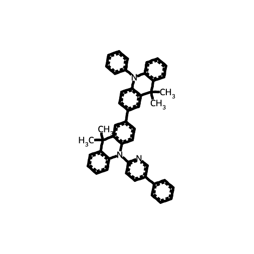 CC1(C)c2ccccc2N(c2ccccc2)c2ccc(-c3ccc4c(c3)C(C)(C)c3ccccc3N4c3ccc(-c4ccccc4)cn3)cc21